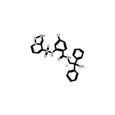 C[C@H](NC(=O)c1ccc(Cl)cc1NS(=O)(=O)C1=CC=CN2SNC=C12)C(O)(c1ccccc1)c1ccccc1